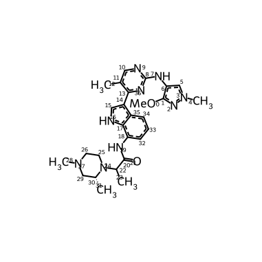 COc1nn(C)cc1Nc1ncc(C)c(-c2c[nH]c3c(NC(=O)C(C)N4CCN(C)C[C@H]4C)cccc23)n1